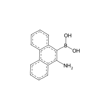 Nc1c(B(O)O)c2ccccc2c2ccccc12